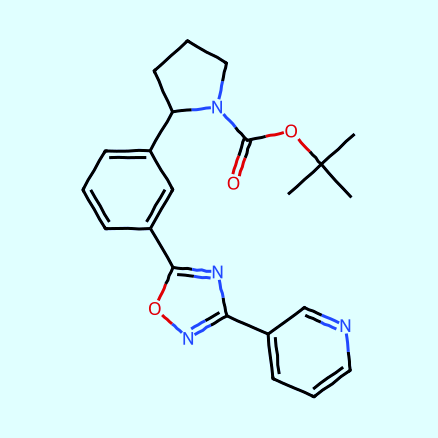 CC(C)(C)OC(=O)N1CCCC1c1cccc(-c2nc(-c3cccnc3)no2)c1